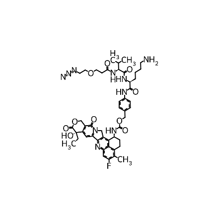 CC[C@@]1(O)C(=O)OCc2c1cc1n(c2=O)Cc2c-1nc1cc(F)c(C)c3c1c2[C@@H](NC(=O)OCc1ccc(NC(=O)[C@H](CCCCN)NC(=O)[C@@H](NC(=O)CCOCCN=[N+]=[N-])C(C)C)cc1)CC3